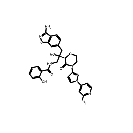 Cc1cc(-n2ccc(N3CCO[C@H](C(O)(CNC(=O)c4ccccc4O)Cc4ccc5c(N)noc5c4)C3=O)n2)ccn1